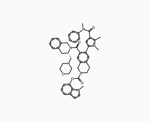 Cc1c(C(=O)N(C)c2ccccc2)cc(-c2cc3c(cc2C(=O)N2Cc4ccccc4C[C@H]2CN2CCOCC2)CN(C(=O)Oc2cccc4ccn(C)c24)CC3)n1C